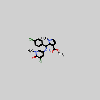 COC(=O)c1ccn(C)c1C(Nc1cc(Cl)c(=O)n(C)c1)c1ccc(Cl)cc1